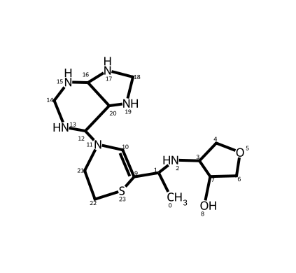 CC(NC1COCC1O)C1=CN(C2NCNC3NCNC32)CCS1